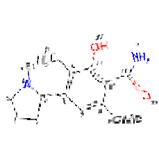 CCN1CCCC1c1cc(OC)c(C(N)=O)c(O)c1C